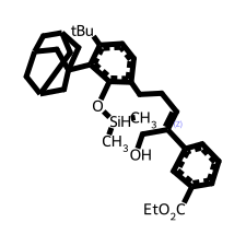 CCOC(=O)c1cccc(/C(=C/CCc2ccc(C(C)(C)C)c(C34CC5CC(CC(C5)C3)C4)c2O[SiH](C)C)CO)c1